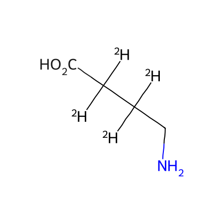 [2H]C([2H])(CN)C([2H])([2H])C(=O)O